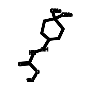 COC1(OC)CCC(NNC(=O)OC(C)(C)C)CC1